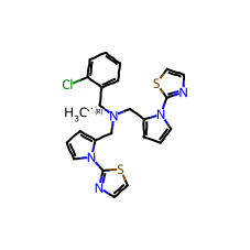 C[C@H](c1ccccc1Cl)N(Cc1cccn1-c1nccs1)Cc1cccn1-c1nccs1